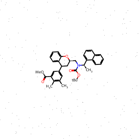 COC(=O)c1cc(C2C[C@H](CN(C(=O)OC(C)(C)C)[C@H](C)c3cccc4ccccc34)Oc3ccccc32)cc(C)c1C